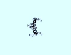 Cc1nn(C)c2nc(N3CCO[C@H]([C@@](C)(O)C(=O)Nc4ccc5c(N)noc5c4)C3=O)ccc12